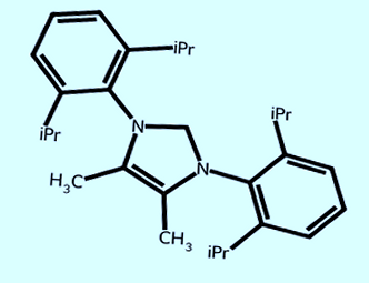 CC1=C(C)N(c2c(C(C)C)cccc2C(C)C)CN1c1c(C(C)C)cccc1C(C)C